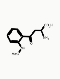 CONc1ccccc1C(=O)CC(N)C(=O)O